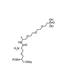 COC[C@H](CSC[C@H](N)C(=O)N[C@@H](C)COCCOCCOCCP(=O)(O)O)NC(C)=O